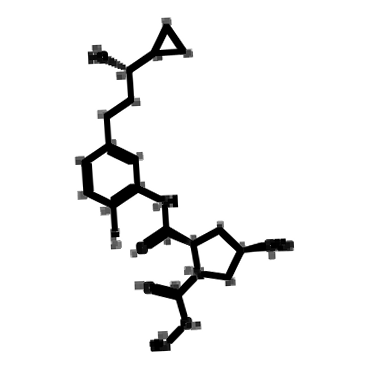 CO[C@@H]1C[C@H](C(=O)Nc2cc(CC[C@H](O)C3CC3)ccc2F)N(C(=O)OC(C)(C)C)C1